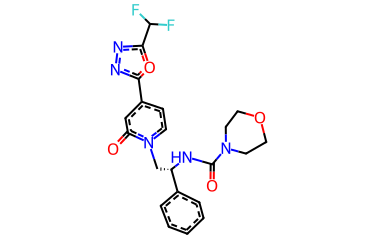 O=C(N[C@@H](Cn1ccc(-c2nnc(C(F)F)o2)cc1=O)c1ccccc1)N1CCOCC1